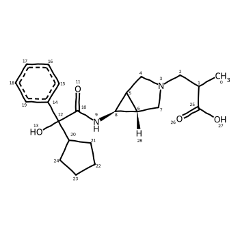 CC(CN1CC2[C@H](C1)[C@H]2NC(=O)C(O)(c1ccccc1)C1CCCC1)C(=O)O